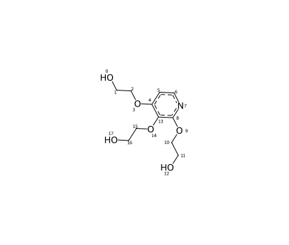 OCCOc1ccnc(OCCO)c1OCCO